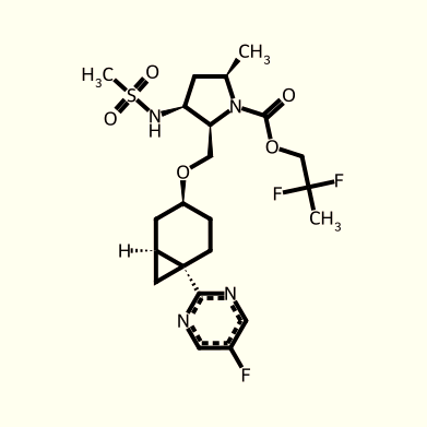 C[C@@H]1C[C@H](NS(C)(=O)=O)[C@H](CO[C@H]2CC[C@@]3(c4ncc(F)cn4)C[C@H]3C2)N1C(=O)OCC(C)(F)F